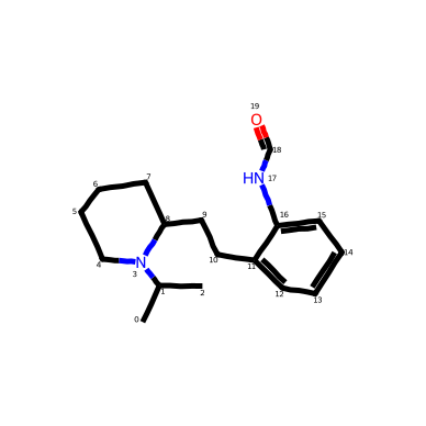 CC(C)N1CCCCC1CCc1ccccc1NC=O